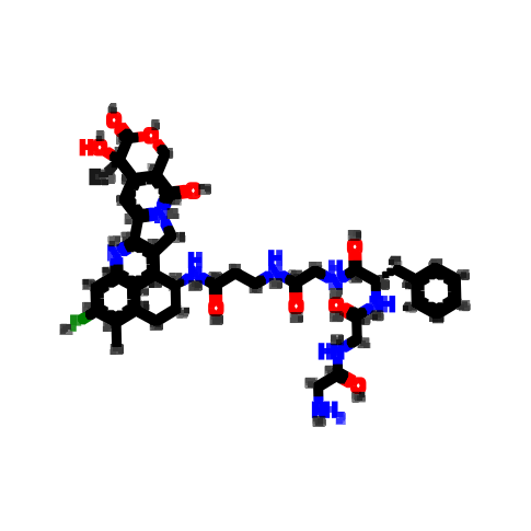 CC[C@@]1(O)C(=O)OCc2c1cc1n(c2=O)Cc2c-1nc1cc(F)c(C)c3c1c2[C@@H](NC(=O)CCNC(=O)CNC(=O)[C@H](Cc1ccccc1)NC(=O)CNC(=O)CN)CC3